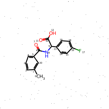 Cc1cccc(C(=O)NC(C(=O)O)c2ccc(F)cc2)c1